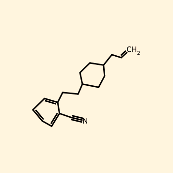 C=CCC1CCC(CCc2ccccc2C#N)CC1